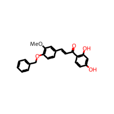 COc1cc(/C=C/C(=O)c2ccc(O)cc2O)ccc1OCc1ccccc1